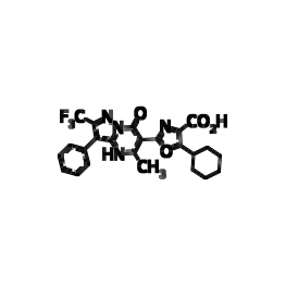 Cc1[nH]c2c(-c3ccccc3)c(C(F)(F)F)nn2c(=O)c1-c1nc(C(=O)O)c(C2CCCCC2)o1